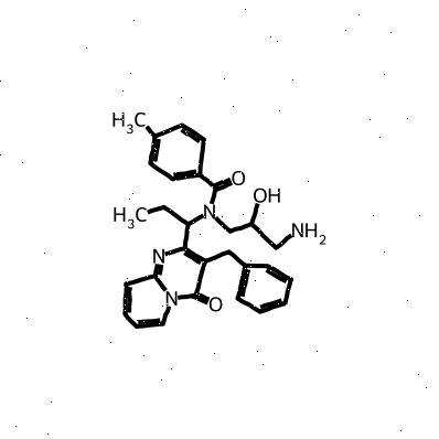 CCC(c1nc2ccccn2c(=O)c1Cc1ccccc1)N(CC(O)CN)C(=O)c1ccc(C)cc1